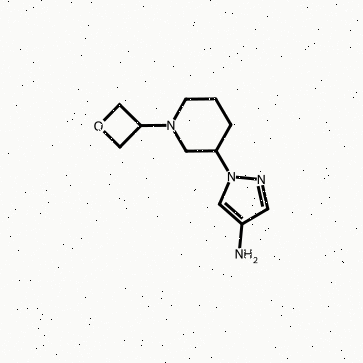 Nc1cnn(C2CCCN(C3COC3)C2)c1